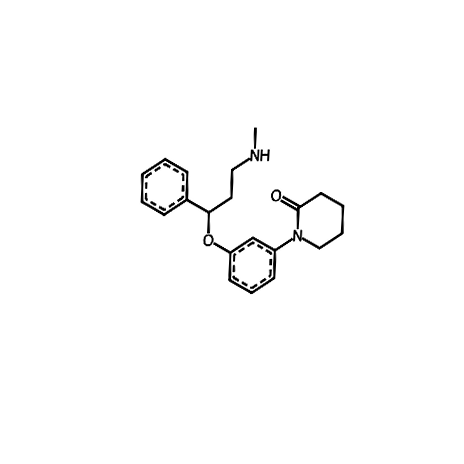 CNCCC(Oc1cccc(N2CCCCC2=O)c1)c1ccccc1